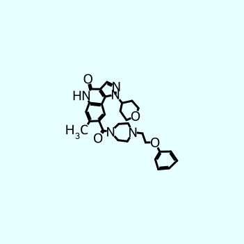 Cc1cc2[nH]c(=O)c3cnn(C4CCOCC4)c3c2cc1C(=O)N1CCN(CCOc2ccccc2)CC1